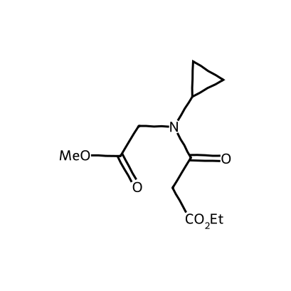 CCOC(=O)CC(=O)N(CC(=O)OC)C1CC1